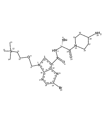 CC(C)(C)[C@@H](NC(=O)c1cn(COCC[Si](C)(C)C)c2ncc(Br)nc12)C(=O)N1CCC(N)CC1